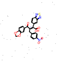 O=C(O)/C(=C(\Cc1ccc([N+](=O)[O-])cc1)C(=O)c1ccc2c(c1)OCO2)c1ccc2nsnc2c1